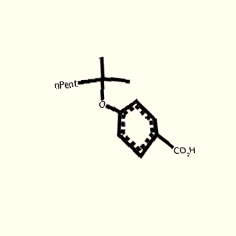 CCCCCC(C)(C)Oc1ccc(C(=O)O)cc1